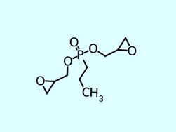 CCCP(=O)(OCC1CO1)OCC1CO1